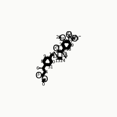 COC(=O)C[C@@H](C)c1ccc(Cn2ccnc(-c3ccc([N+](=O)[O-])c(OC)c3)c2=O)cc1